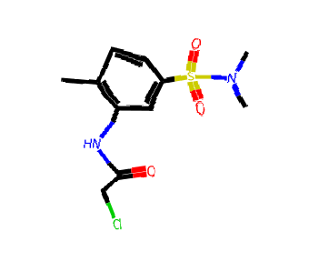 Cc1ccc(S(=O)(=O)N(C)C)cc1NC(=O)CCl